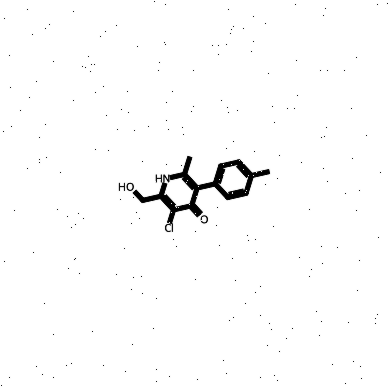 Cc1ccc(-c2c(C)[nH]c(CO)c(Cl)c2=O)cc1